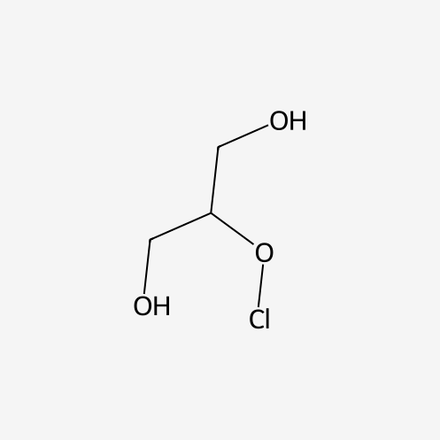 OCC(CO)OCl